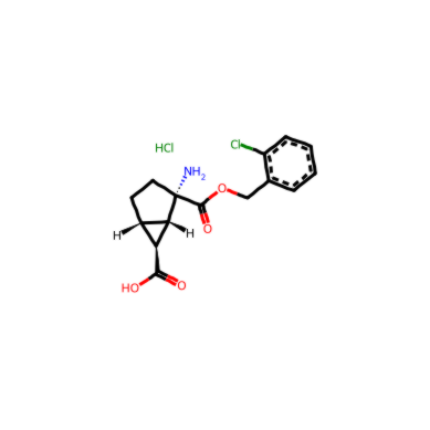 Cl.N[C@@]1(C(=O)OCc2ccccc2Cl)CC[C@H]2[C@H](C(=O)O)[C@H]21